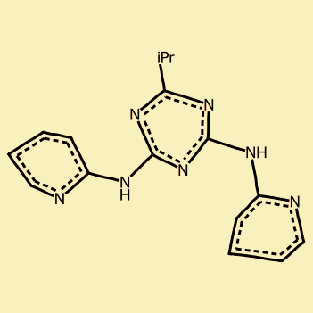 CC(C)c1nc(Nc2ccccn2)nc(Nc2ccccn2)n1